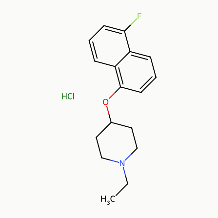 CCN1CCC(Oc2cccc3c(F)cccc23)CC1.Cl